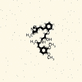 COc1ccc(CC(C)NCC(O)COc2ccccc2C=Cc2cc(C)no2)cc1OC